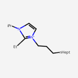 CCCCCCCCCC[n+]1ccn(C(C)C)c1CC